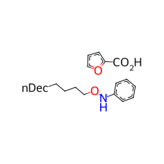 CCCCCCCCCCCCCCONc1ccccc1.O=C(O)c1ccco1